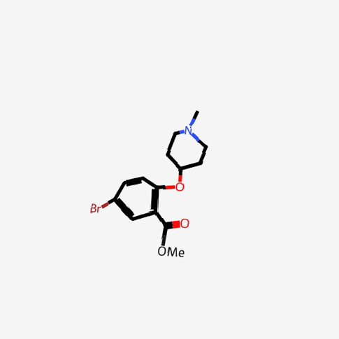 COC(=O)c1cc(Br)ccc1OC1CCN(C)CC1